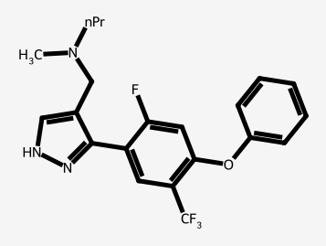 CCCN(C)Cc1c[nH]nc1-c1cc(C(F)(F)F)c(Oc2ccccc2)cc1F